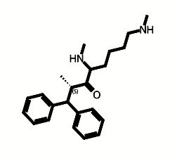 CNCCCCC(NC)C(=O)[C@@H](C)C(c1ccccc1)c1ccccc1